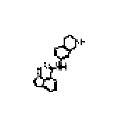 O=C(Nc1ccc2c(c1)CNCC2)c1cccc2cc[nH]c12